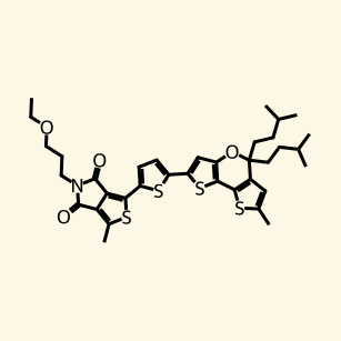 CCOCCCN1C(=O)c2c(C)sc(-c3ccc(-c4cc5c(s4)-c4sc(C)cc4C(CCC(C)C)(CCC(C)C)O5)s3)c2C1=O